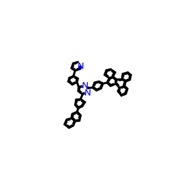 c1cncc(-c2cccc(-c3cc(-c4ccc(-c5ccc6ccccc6c5)cc4)nc(-c4ccc(-c5cc6c7ccccc7c7ccccc7c6c6ccccc56)cc4)n3)c2)c1